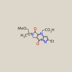 CCc1cc2n(CC(=O)O)c3c(c(=O)n2n1)CN([C@@H](C)COC)C3=O